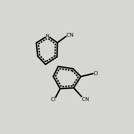 N#Cc1c(Cl)cccc1Cl.N#Cc1ccccn1